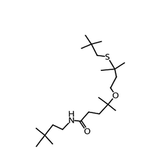 CC(C)(C)CCNC(=O)CCC(C)(C)OCCC(C)(C)SCC(C)(C)C